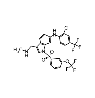 CNCc1cn(S(=O)(=O)c2cccc(OC(F)(F)F)c2)c2cc(Nc3ccc(C(F)(F)F)cc3Cl)ccc12